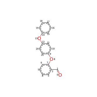 O=Cc1ccccc1Oc1ccc(Oc2ccccc2)cc1